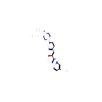 Cc1ccn2cc(-c3cc4ccc(N5CCN(C)[C@@H](C)C5)nc4oc3=O)nc2c1